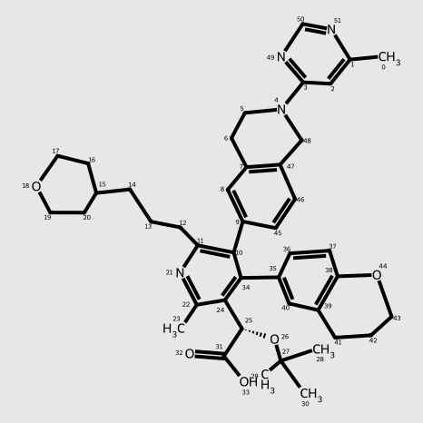 Cc1cc(N2CCc3cc(-c4c(CCCC5CCOCC5)nc(C)c([C@H](OC(C)(C)C)C(=O)O)c4-c4ccc5c(c4)CCCO5)ccc3C2)ncn1